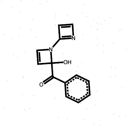 O=C(c1ccccc1)C1(O)C=CN1C1=NC=C1